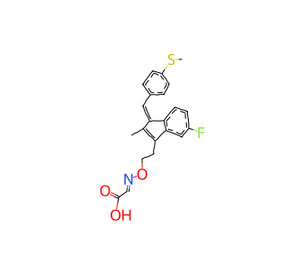 CSc1ccc(/C=C2/C(C)=C(CCON=CC(=O)O)c3cc(F)ccc32)cc1